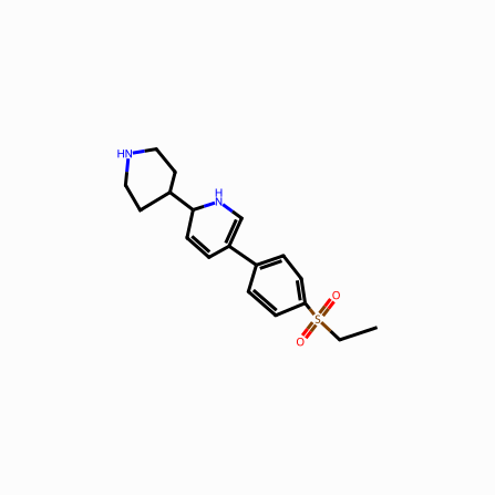 CCS(=O)(=O)c1ccc(C2=CNC(C3CCNCC3)C=C2)cc1